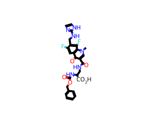 Cn1cc(C(=O)NCC(NC(=O)OCc2ccccc2)C(=O)O)c(=O)c2cc(F)c(CNc3ncc[nH]3)c(F)c21